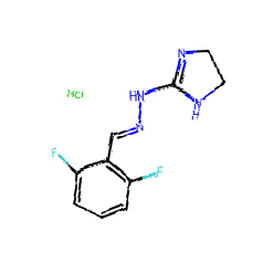 Cl.Fc1cccc(F)c1/C=N/NC1=NCCN1